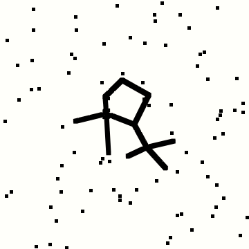 CC(C)(C)C1CCCS1(C)C